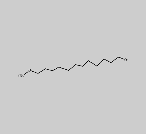 CCCCOCCCCCCCCCCCC[O]